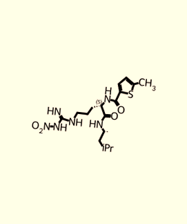 Cc1ccc(C(=O)N[C@@H](CCCNC(=N)N[N+](=O)[O-])C(=O)N[CH]CC(C)C)s1